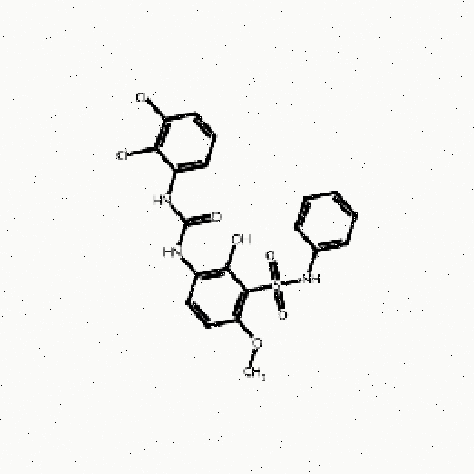 COc1ccc(NC(=O)Nc2cccc(Cl)c2Cl)c(O)c1S(=O)(=O)Nc1ccccc1